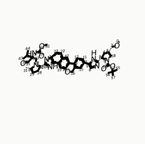 COC[C@H]1C[C@@H](c2ncc(-c3ccc4c(c3)COc3cc5c(ccc6nc([C@@H]7CC[C@H](C)N7C[C@](C=O)(NC(=O)OC)C(C)C)[nH]c65)cc3-4)[nH]2)N(C(=O)OC(C)(C)C)C1